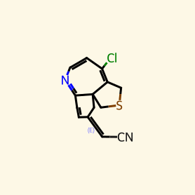 N#C/C=C1/C=CC2=NC=CC(Cl)=C3CSCC23C1